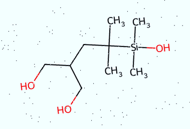 CC(C)(CC(CO)CO)[Si](C)(C)O